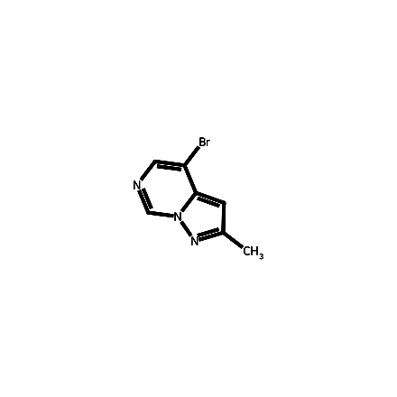 Cc1cc2c(Br)cncn2n1